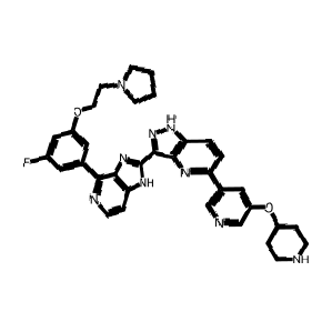 Fc1cc(OCCN2CCCC2)cc(-c2nccc3[nH]c(-c4n[nH]c5ccc(-c6cncc(OC7CCNCC7)c6)nc45)nc23)c1